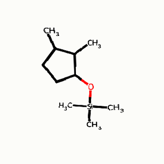 CC1CCC(O[Si](C)(C)C)C1C